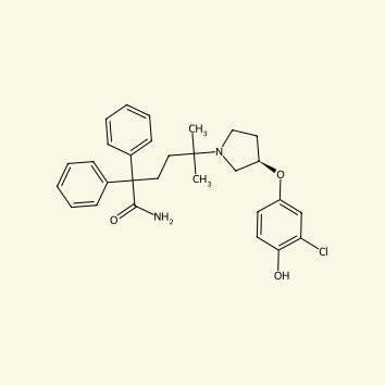 CC(C)(CCC(C(N)=O)(c1ccccc1)c1ccccc1)N1CC[C@@H](Oc2ccc(O)c(Cl)c2)C1